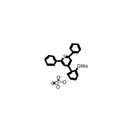 COc1ccccc1-c1cc(-c2ccccc2)[s+]c(-c2ccccc2)c1.[O-][Cl+3]([O-])([O-])[O-]